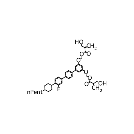 C=C(CO)C(=O)OCOc1cc(OCOC(=O)C(=C)CO)cc(-c2ccc(-c3ccc(C4CCC(CCCCC)CC4)c(F)c3)cc2)c1